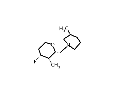 C[C@H]1CCCN(C[C@H]2OCC[C@@H](F)[C@H]2C)C1